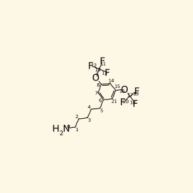 NCCCCCc1cc(OC(F)(F)F)cc(OC(F)(F)F)c1